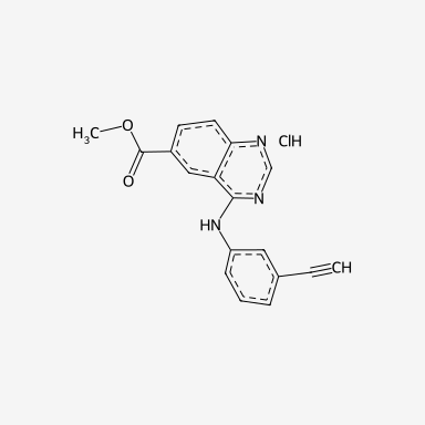 C#Cc1cccc(Nc2ncnc3ccc(C(=O)OC)cc23)c1.Cl